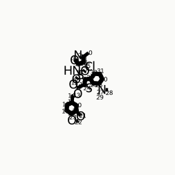 Cc1noc(NS(=O)(=O)c2c(C(=O)OCc3ccc4c(c3)OCO4)sc3c(N(C)C)cccc23)c1Cl